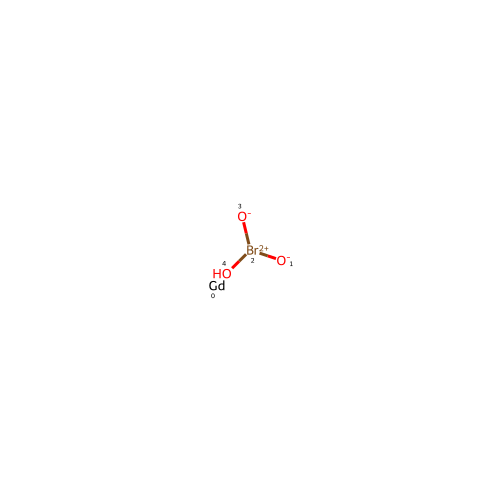 [Gd].[O-][Br+2]([O-])O